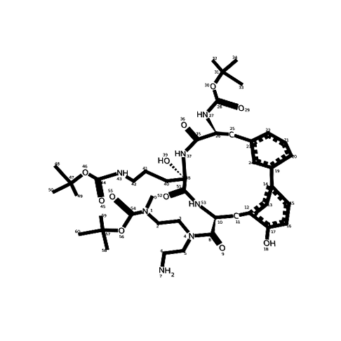 CN(CCN(CCN)C(=O)[C@@H]1Cc2cc(ccc2O)-c2cccc(c2)C[C@H](NC(=O)OC(C)(C)C)C(=O)N[C@](O)(CCCNC(=O)OC(C)(C)C)C(=O)N1)C(=O)OC(C)(C)C